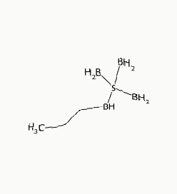 BS(B)(B)BCCC